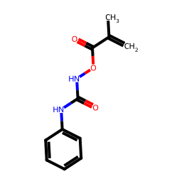 C=C(C)C(=O)ONC(=O)Nc1ccccc1